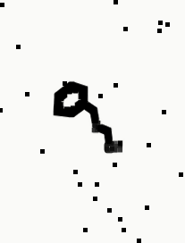 OCSCc1ccccc1